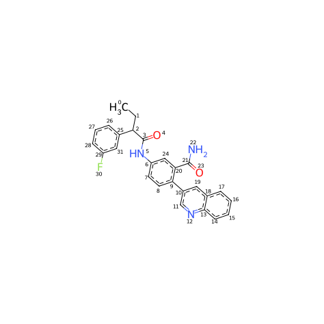 CCC(C(=O)Nc1ccc(-c2cnc3ccccc3c2)c(C(N)=O)c1)c1cccc(F)c1